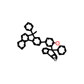 CC1(c2ccccc2)c2cc(-c3ccc4c(c3)C3(c5ccccc5O4)c4ccccc4-c4ccccc43)ccc2-c2c1ccc1ccccc21